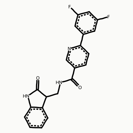 O=C(NCC1C(=O)Nc2ccccc21)c1ccc(-c2cc(F)cc(F)c2)nc1